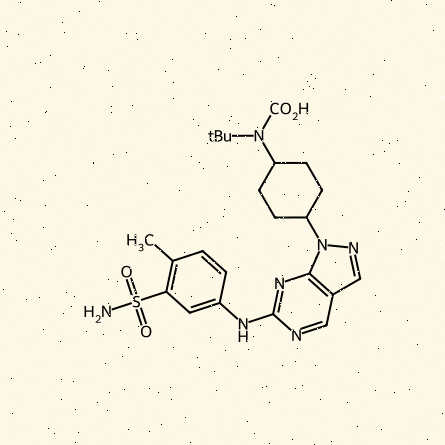 Cc1ccc(Nc2ncc3cnn(C4CCC(N(C(=O)O)C(C)(C)C)CC4)c3n2)cc1S(N)(=O)=O